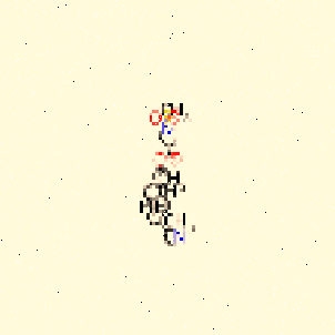 C[C@]12CC[C@H](OC(=O)C3CCN(S(C)(=O)=O)CC3)CC1=CC[C@@H]1[C@@H]2CC[C@]2(C)C(c3cccnc3)=CC[C@@H]12